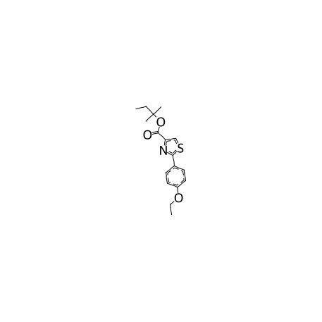 CCOc1ccc(-c2nc(C(=O)OC(C)(C)CC)cs2)cc1